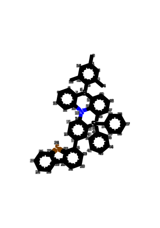 Cc1cc(C)c(B2c3ccccc3N3c4ccc(-c5cccc6c5sc5ccccc56)cc4[Si](c4ccccc4)(c4ccccc4)c4cccc2c43)c(C)c1